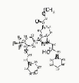 COCC(=O)N1CCc2c(c(-c3ccc(C(F)(F)F)c(SCCN4CCOCC4)c3)nn2CC(O)CN2CCCCC2)C1